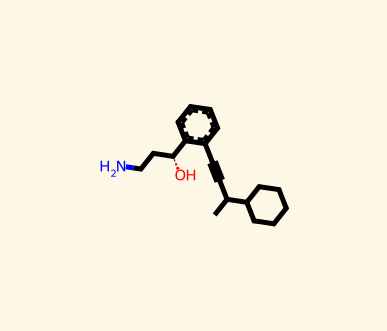 CC(C#Cc1ccccc1[C@H](O)CCN)C1CCCCC1